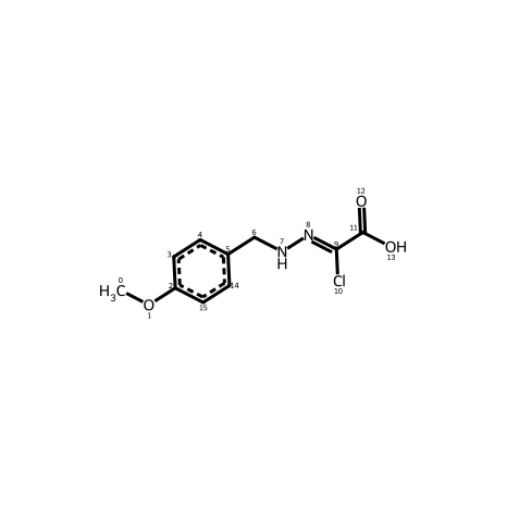 COc1ccc(CN/N=C(\Cl)C(=O)O)cc1